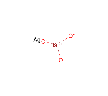 [Ag+].[O-][Br+2]([O-])[O-]